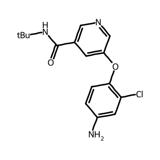 CC(C)(C)NC(=O)c1cncc(Oc2ccc(N)cc2Cl)c1